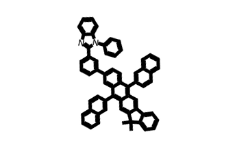 CC1(C)c2ccccc2-c2cc3c(-c4ccc5ccccc5c4)c4ccc(-c5cccc(-c6nc7ccccc7n6-c6ccccc6)c5)cc4c(-c4ccc5ccccc5c4)c3cc21